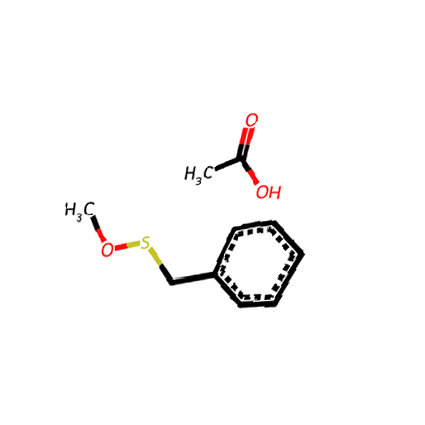 CC(=O)O.COSCc1ccccc1